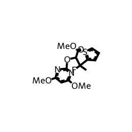 COC(=O)C(Oc1nc(OC)cc(OC)n1)C(C)(F)c1cccs1